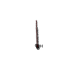 CCCCCCCCCCCCCCCCCCCCCCCCCCCCCCCCCCC(=O)N(O)N=C=O